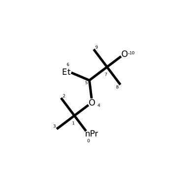 CCCC(C)(C)OC(CC)C(C)(C)[O]